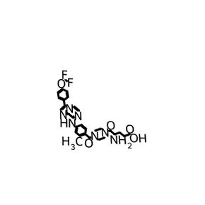 Cc1cc(Nc2nccn3c(-c4ccc(OC(F)F)cc4)cnc23)ccc1C(=O)N1CCN(C(=O)C(N)CCC(=O)O)CC1